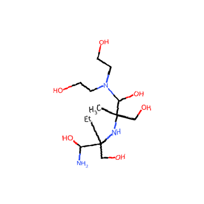 CCC(CO)(NC(C)(CO)C(O)N(CCO)CCO)C(N)O